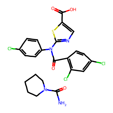 NC(=O)N1CCCCC1.O=C(O)c1cnc(N(C(=O)c2ccc(Cl)cc2Cl)c2ccc(Cl)cc2)s1